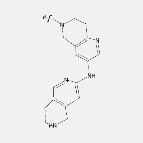 CN1CCc2ncc(Nc3cc4c(cn3)CCNC4)cc2C1